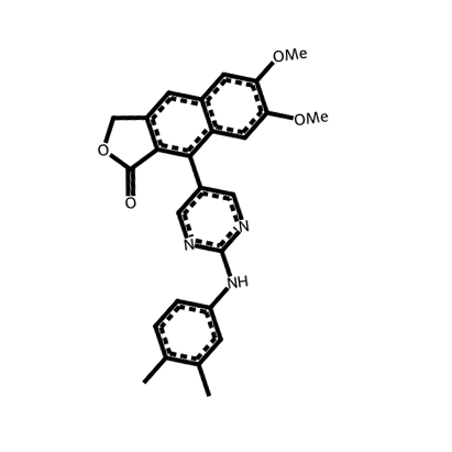 COc1cc2cc3c(c(-c4cnc(Nc5ccc(C)c(C)c5)nc4)c2cc1OC)C(=O)OC3